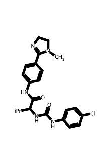 CC(C)C(NC(=O)Nc1ccc(Cl)cc1)C(=O)Nc1ccc(C2=NCCN2C)cc1